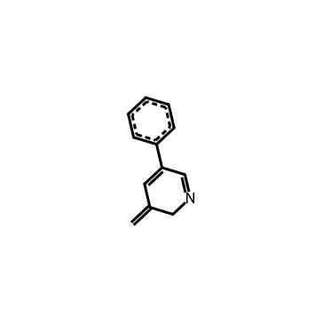 C=C1C=C(c2ccccc2)C=NC1